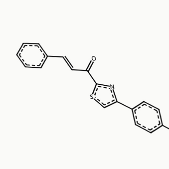 O=C(C=Cc1ccccc1)c1nc(-c2ccc(Br)cc2)cs1